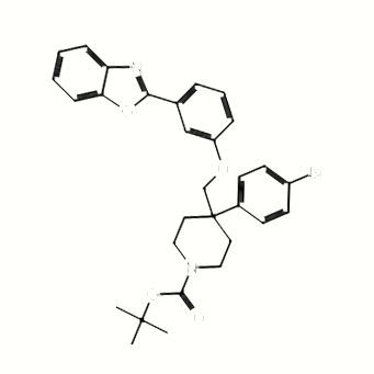 CC(C)(C)OC(=O)N1CCC(COc2cccc(-c3nc4ccccc4o3)c2)(c2ccc(Br)cc2)CC1